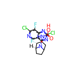 O=C(O)N[C@H]1CC2CC[C@@H]([C@@H]1F)N2c1nc(Cl)nc2c(F)c(Cl)ncc12